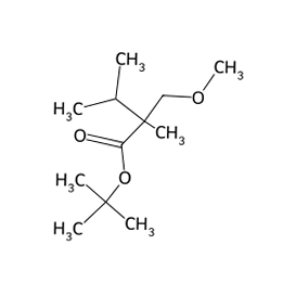 COCC(C)(C(=O)OC(C)(C)C)C(C)C